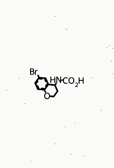 O=C(O)NC1CCOc2ccc(Br)cc21